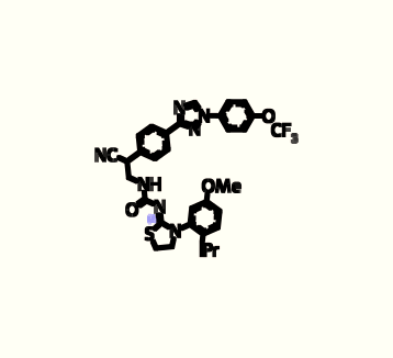 COc1ccc(C(C)C)c(N2CCS/C2=N\C(=O)NCC(C#N)c2ccc(-c3ncn(-c4ccc(OC(F)(F)F)cc4)n3)cc2)c1